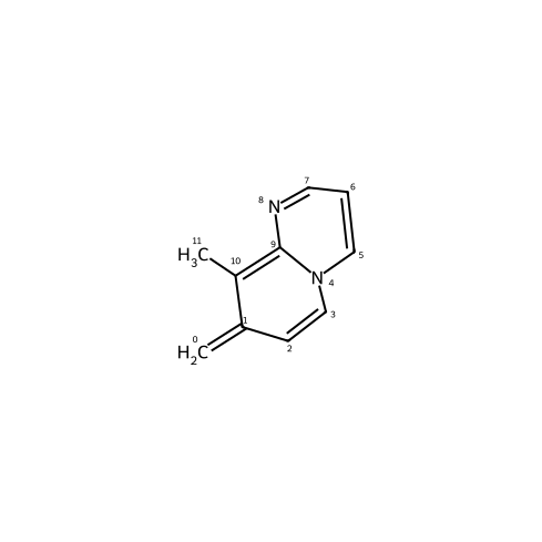 C=C1C=CN2C=CC=NC2=C1C